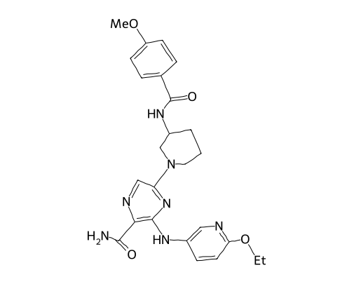 CCOc1ccc(Nc2nc(N3CCCC(NC(=O)c4ccc(OC)cc4)C3)cnc2C(N)=O)cn1